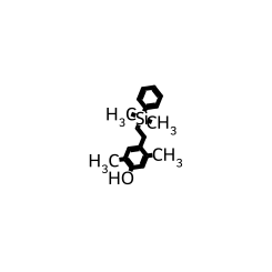 Cc1cc(CC[Si](C)(C)c2ccccc2)c(C)cc1O